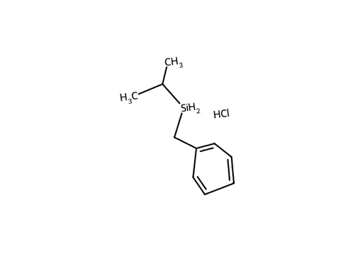 CC(C)[SiH2]Cc1ccccc1.Cl